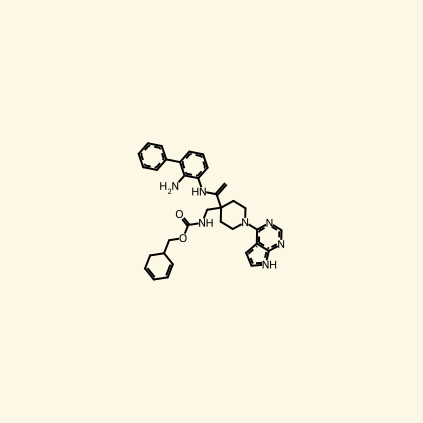 C=C(Nc1cccc(-c2ccccc2)c1N)C1(CNC(=O)OCC2C=CC=CC2)CCN(c2ncnc3[nH]ccc23)CC1